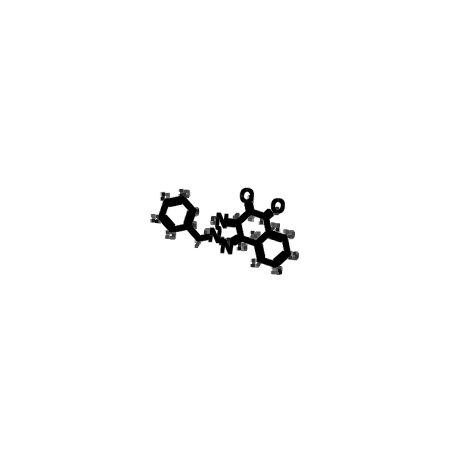 O=C1C(=O)c2nn(Cc3ccccc3)nc2-c2ccccc21